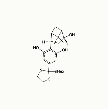 CCCCCCC1(c2cc(O)c([C@@H]3C[C@@H](O)C4CC3C4(C)C)c(O)c2)SCCS1